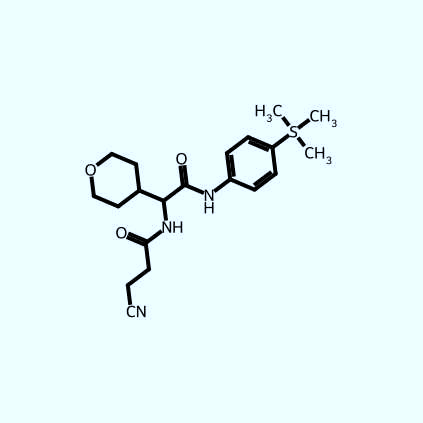 CS(C)(C)c1ccc(NC(=O)C(NC(=O)CCC#N)C2CCOCC2)cc1